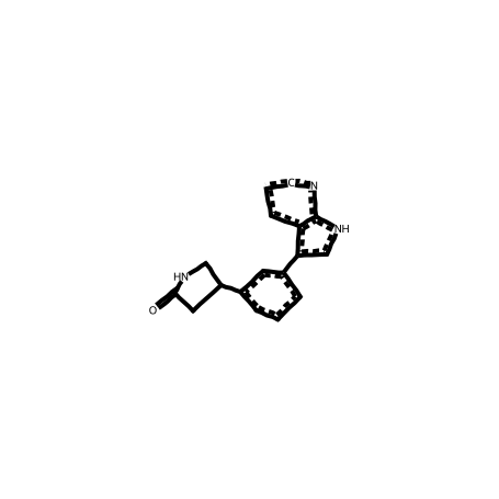 O=C1CC(c2cccc(-c3c[nH]c4ncccc34)c2)CN1